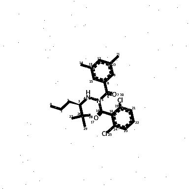 CCC[C@@H](NN(C(=O)c1cc(C)cc(C)c1)C(=O)c1c(Cl)cccc1Cl)C(C)(C)C